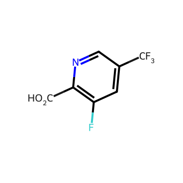 O=C(O)c1ncc(C(F)(F)F)cc1F